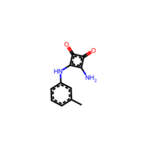 Cc1cccc(Nc2c(N)c(=O)c2=O)c1